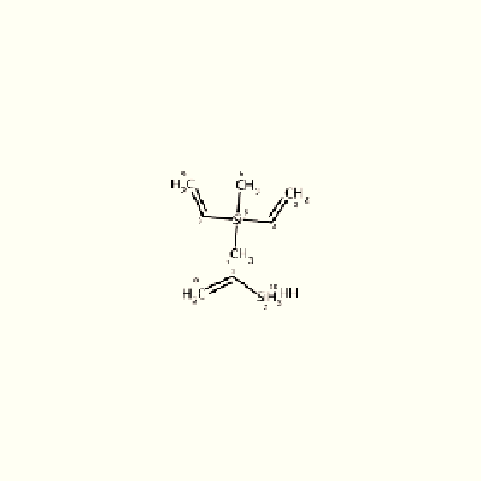 C=C[SiH3].C=C[Si](C)(C)C=C.[HH]